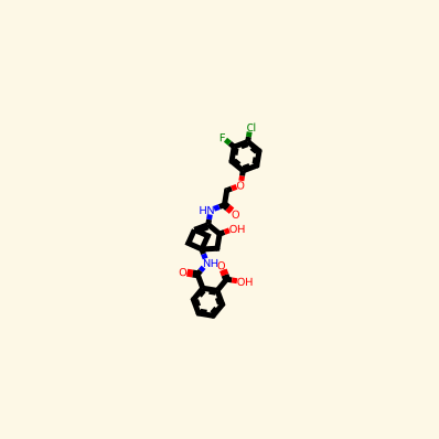 O=C(COc1ccc(Cl)c(F)c1)NC1=C2CC(NC(=O)c3ccccc3C(=O)O)(C2)CC1O